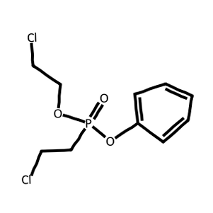 O=P(CCCl)(OCCCl)Oc1ccccc1